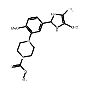 COc1ccc(C2NC(C)=C(C=O)N2)cc1N1CCN(C(=O)OC(C)(C)C)CC1